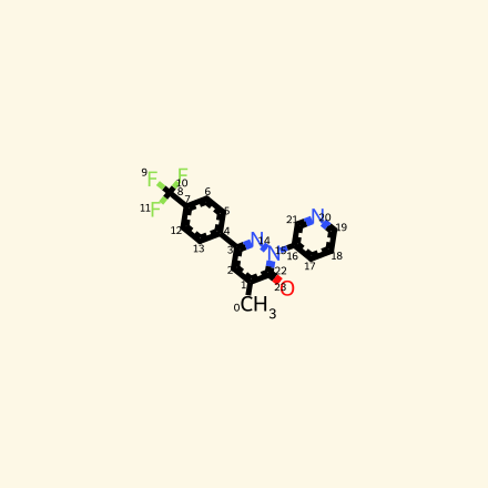 Cc1cc(-c2ccc(C(F)(F)F)cc2)nn(-c2cccnc2)c1=O